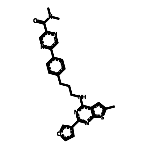 Cc1cc2c(NCCCc3ccc(-c4cnc(C(=O)N(C)C)cn4)cc3)nc(-c3ccoc3)nc2s1